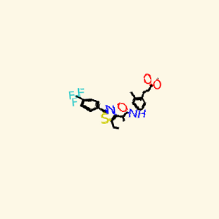 CCc1sc(-c2ccc(C(F)(F)F)cc2)nc1C(C)C(=O)Nc1ccc(CCC(=O)OC)c(C)c1